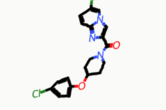 O=C(c1cn2cc(Cl)ccc2n1)N1CCC(Oc2ccc(Cl)cc2)CC1